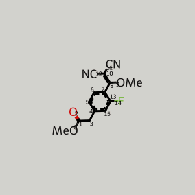 COC(=O)Cc1ccc(C(OC)=C(C#N)C#N)c(F)c1